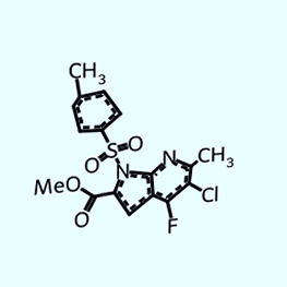 COC(=O)c1cc2c(F)c(Cl)c(C)nc2n1S(=O)(=O)c1ccc(C)cc1